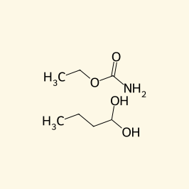 CCCC(O)O.CCOC(N)=O